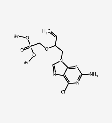 C=CC(Cn1cnc2c(Cl)nc(N)nc21)OCP(=O)(OC(C)C)OC(C)C